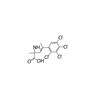 CC(CC(C)(N)C(=O)O)c1cc(Cl)c(Cl)c(Cl)c1Cl